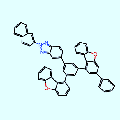 c1ccc(-c2cc(-c3cc(-c4ccc5nn(-c6ccc7ccccc7c6)nc5c4)cc(-c4cccc5oc6ccccc6c45)c3)c3c(c2)oc2ccccc23)cc1